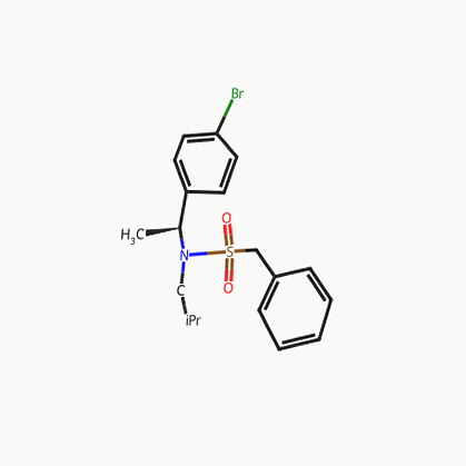 CC(C)CN([C@@H](C)c1ccc(Br)cc1)S(=O)(=O)Cc1ccccc1